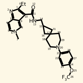 CCc1nc2ccn(C)cc-2c1C(=O)NCC1CC2(CCN(c3ccc(OC(F)(F)F)cc3)CC2)C1